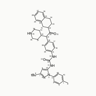 Cc1ccc(-n2nc(C(C)(C)C)cc2NC(=O)Nc2ccc(C(C(=O)C3CCc4ccccc4C3)C3CCNCC3)cc2)cc1